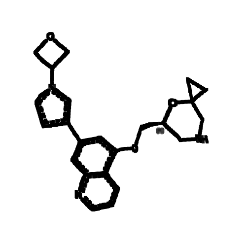 c1cnc2cc(-c3ccn(C4COC4)c3)cc(OC[C@@H]3CNCC4(CC4)O3)c2c1